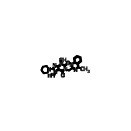 CCCn1c(N2CCCCC2)nc2c1c(=O)n(Cc1nc(C)c3ccccc3n1)c(=O)n2C